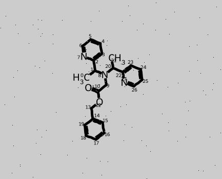 CC(c1ccccn1)N(CC(=O)OCc1ccccc1)C(C)c1ccccn1